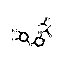 CC(C)C(=O)N(C)C(=O)Nc1cccc(Oc2ccc(C(F)(F)F)c(Cl)c2)c1